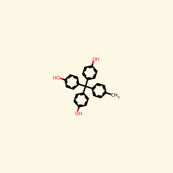 Cc1ccc(C(c2ccc(O)cc2)(c2ccc(O)cc2)c2ccc(O)cc2)cc1